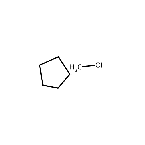 CO.[CH]1CCCC1